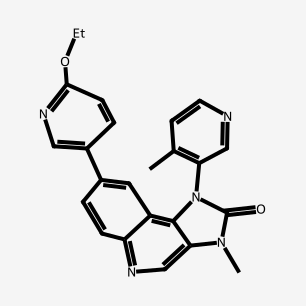 CCOc1ccc(-c2ccc3ncc4c(c3c2)n(-c2cnccc2C)c(=O)n4C)cn1